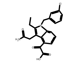 CCc1c(CC(N)=O)c2c(C(=O)C(=O)O)cccc2n1Cc1cccc(Cl)c1